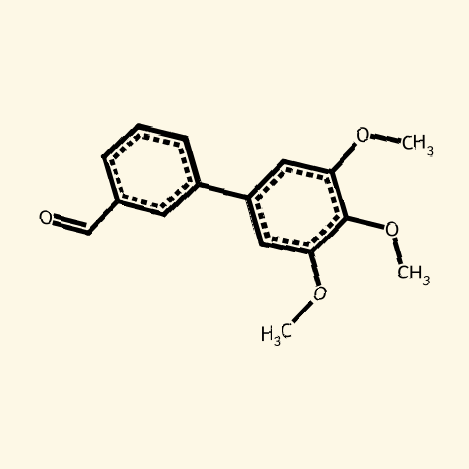 COc1cc(-c2cccc(C=O)c2)cc(OC)c1OC